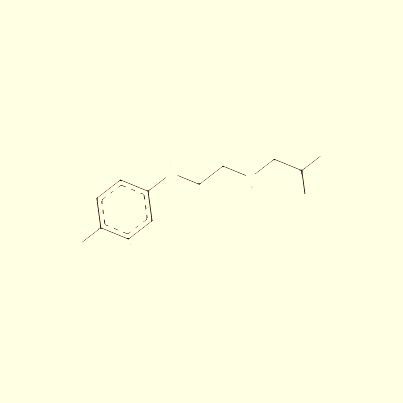 Cc1ccc(OCCSCC(C)C)cc1